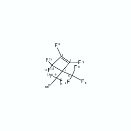 FC1=C(F)C(C(F)(F)F)(C(F)(F)F)C1(F)F